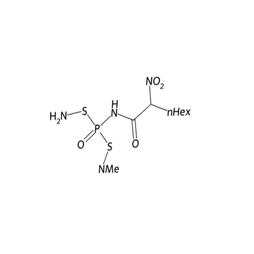 CCCCCCC(C(=O)NP(=O)(SN)SNC)[N+](=O)[O-]